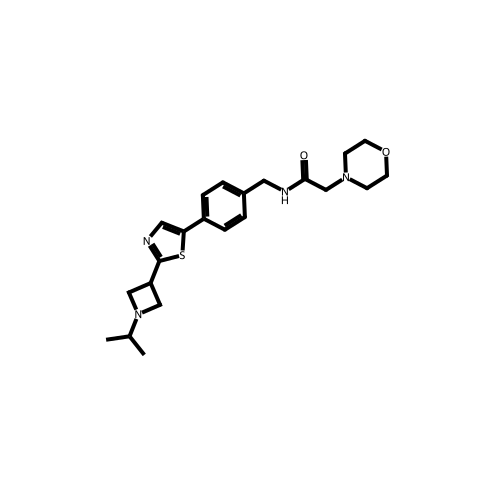 CC(C)N1CC(c2ncc(-c3ccc(CNC(=O)CN4CCOCC4)cc3)s2)C1